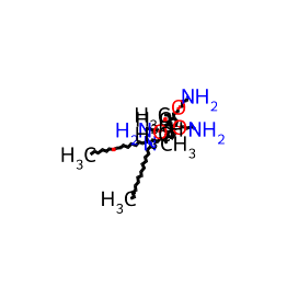 CCCCCCCCCCCCCCCCN(CCCCCCCCCCCCCCCC)CCCC(C)C1CC[C@H]2C3[C@H](OCCCN)CC(CCOCCCN)[C@](C)(CC)[C@H]3C[C@H](OCCCN)[C@]12C